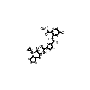 COC(=O)c1ncc(Cl)cc1N[C@H](C)c1ccc(C(=O)N[C@@H](CC2CCCC2)C(=O)NC2CC2)s1